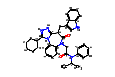 CC(C)N(C(=O)CN1C(=O)C(Cc2c[nH]c3ccccc23)c2nnc(C3CCCCC3)n2-c2ccccc21)c1ccccc1